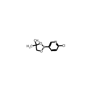 CC1(C)COB(c2ccc(Cl)nc2)O1